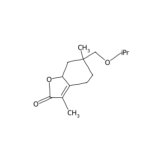 CC1=C2CCC(C)(COC(C)C)CC2OC1=O